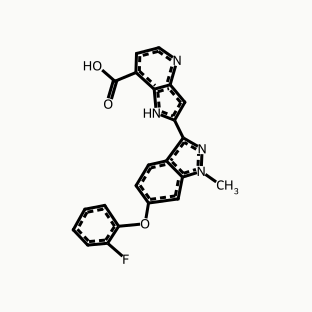 Cn1nc(-c2cc3nccc(C(=O)O)c3[nH]2)c2ccc(Oc3ccccc3F)cc21